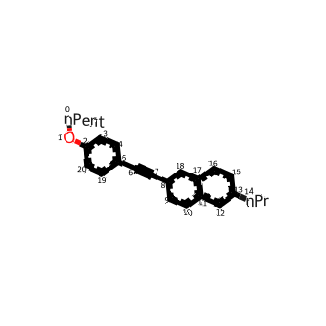 CCCCCOc1ccc(C#Cc2ccc3cc(CCC)ccc3c2)cc1